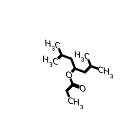 CCC(=O)OC(C[C](C)C)C[C](C)C